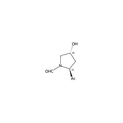 CC(=O)[C@@H]1C[C@@H](O)CN1C=O